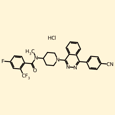 CN(C(=O)c1ccc(F)cc1C(F)(F)F)C1CCN(c2nnc(-c3ccc(C#N)cc3)c3ccccc23)CC1.Cl